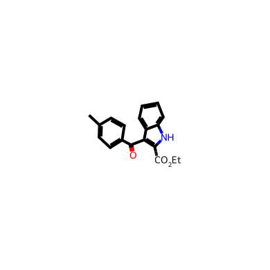 CCOC(=O)c1[nH]c2ccccc2c1C(=O)c1ccc(C)cc1